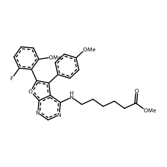 COC(=O)CCCCCNc1ncnc2oc(-c3c(F)cccc3OC)c(-c3ccc(OC)cc3)c12